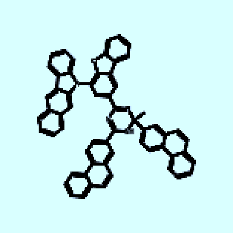 CC1(c2ccc3c(ccc4ccccc43)c2)N=C(c2cc(-n3c4ccccc4c4cc5ccccc5cc43)c3oc4ccccc4c3c2)N=C(c2ccc3c(ccc4ccccc43)c2)N1